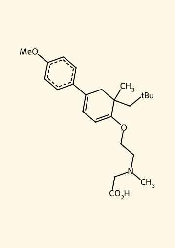 COc1ccc(C2=CC=C(OCCN(C)CC(=O)O)C(C)(CC(C)(C)C)C2)cc1